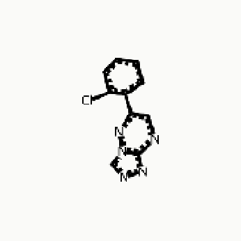 Clc1ccccc1-c1cnc2nncn2n1